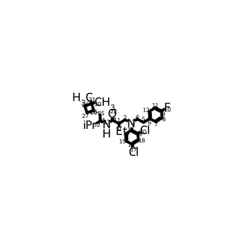 CCC(CN(CCc1ccc(F)cc1)c1ccc(Cl)cc1Cl)C(=O)NC(C[C@@H]1CCC1(C)C)C(C)C